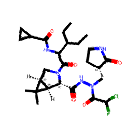 CCC(CC)C(NC(=O)C1CC1)C(=O)N1C[C@H]2[C@@H]([C@H]1C(=O)NN(C[C@@H]1CCNC1=O)C(=O)C(F)Cl)C2(C)C